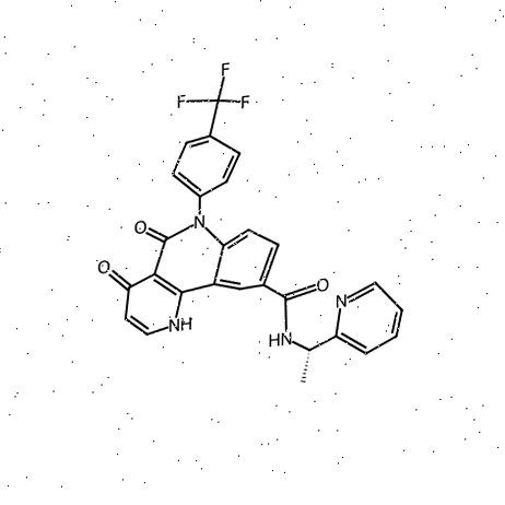 C[C@H](NC(=O)c1ccc2c(c1)c1[nH]ccc(=O)c1c(=O)n2-c1ccc(C(F)(F)F)cc1)c1ccccn1